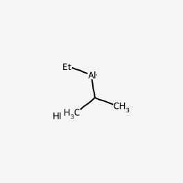 C[CH2][Al][CH](C)C.I